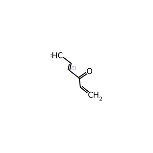 [CH]/C=C/C(=O)C=C